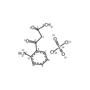 CC(=O)CC(=O)c1ccccc1N.O=S(=O)(Cl)Cl